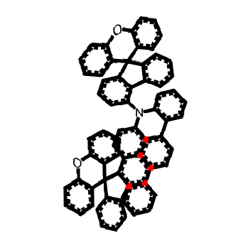 c1ccc(-c2ccc(-c3ccccc3N(c3ccc4c5c(ccc4c3)-c3ccccc3C53c4ccccc4Oc4ccccc43)c3cccc4c3-c3ccccc3C43c4ccccc4Oc4ccccc43)cc2)cc1